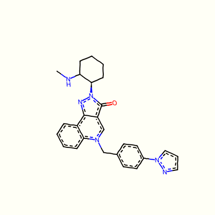 CNC1CCCC[C@H]1n1nc2c3ccccc3n(Cc3ccc(-n4cccn4)cc3)cc-2c1=O